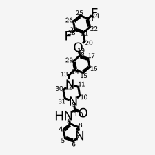 O=C(Nc1cccnc1)N1CCN(Cc2cccc(OCc3cc(F)ccc3F)c2)CC1